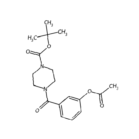 CC(=O)Oc1cccc(C(=O)N2CCN(C(=O)OC(C)(C)C)CC2)c1